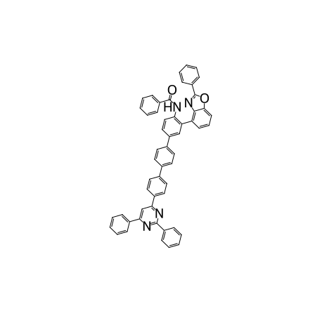 O=C(Nc1ccc(-c2ccc(-c3ccc(-c4cc(-c5ccccc5)nc(-c5ccccc5)n4)cc3)cc2)cc1-c1cccc2oc(-c3ccccc3)nc12)c1ccccc1